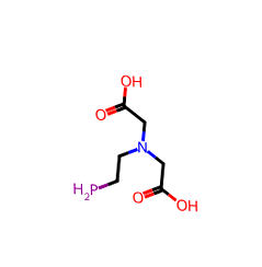 O=C(O)CN(CCP)CC(=O)O